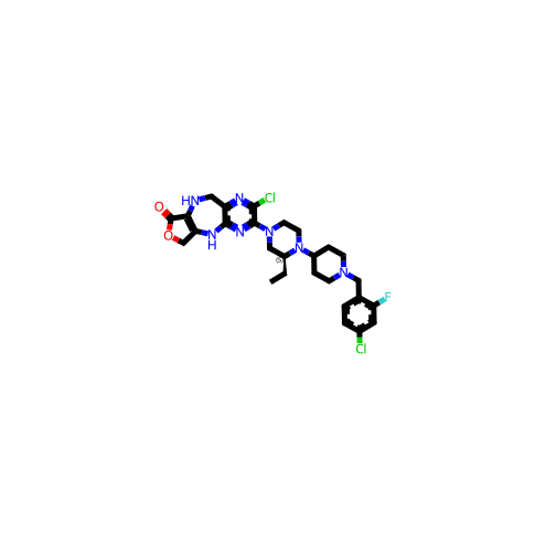 CC[C@H]1CN(c2nc3c(nc2Cl)CNC2=C(COC2=O)N3)CCN1C1CCN(Cc2ccc(Cl)cc2F)CC1